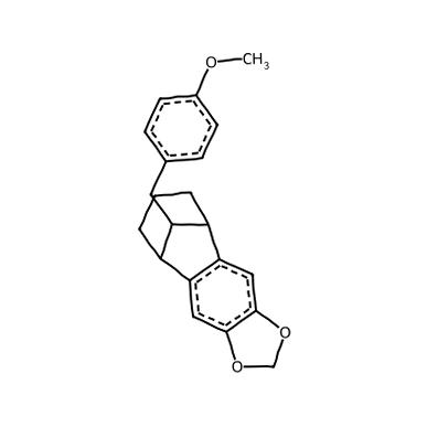 COc1ccc(CC2C3CCCC2c2cc4c(cc23)OCO4)cc1